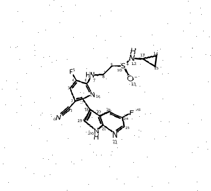 N#Cc1cc(F)c(NCC[S+]([O-])NC2CC2)nc1-c1c[nH]c2ncc(F)cc12